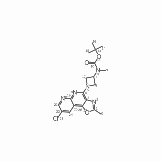 Cc1nc2c(N3CC(N(C)C(=O)OC(C)(C)C)C3)nc3ncc(Cl)cc3c2o1